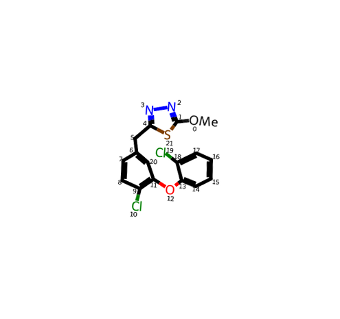 COc1nnc(Cc2ccc(Cl)c(Oc3ccccc3Cl)c2)s1